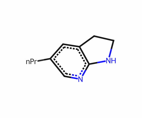 CCCc1cnc2c(c1)CCN2